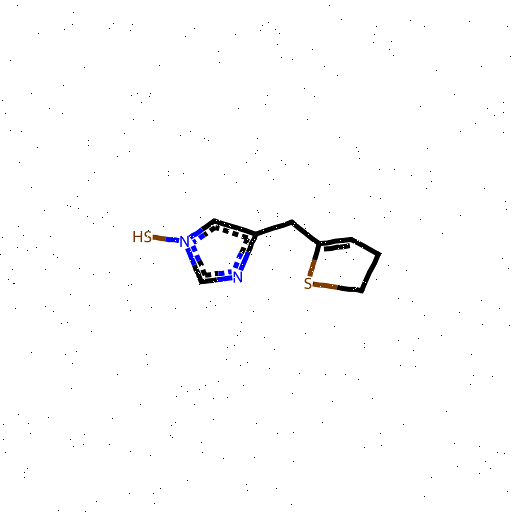 Sn1cnc(CC2=CCCS2)c1